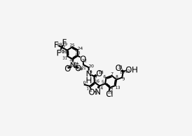 Cc1onc(-c2ccc(CC(=O)O)cc2Cl)c1C(=O)NCCOc1ccc(C(F)(F)F)cc1[N+](=O)[O-]